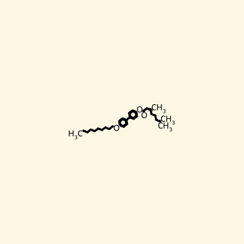 CCCCCCCCCCOc1ccc(-c2ccc(OC(=O)C[C@@H](C)CCCC(C)C)cc2)cc1